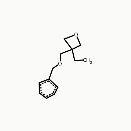 CCC1(COCc2ccccc2)COC1